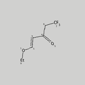 CCOC=CC(=O)CC(F)(F)F